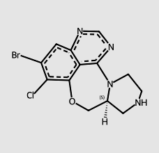 Clc1c(Br)cc2ncnc3c2c1OC[C@@H]1CNCCN31